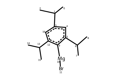 CC(C)c1cc(C(C)C)[c]([Mg][Br])c(C(C)C)c1